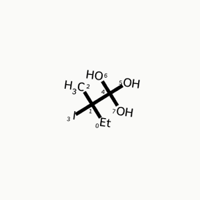 CCC(C)(I)C(O)(O)O